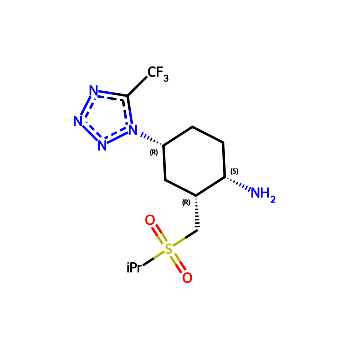 CC(C)S(=O)(=O)C[C@@H]1C[C@H](n2nnnc2C(F)(F)F)CC[C@@H]1N